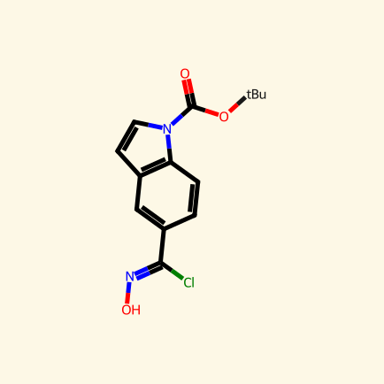 CC(C)(C)OC(=O)n1ccc2cc(C(Cl)=NO)ccc21